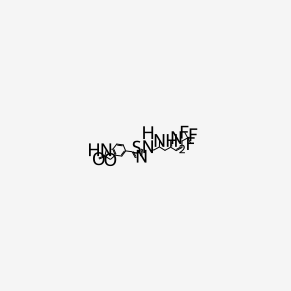 NC(CNc1ncc(-c2ccc3[nH]c(=O)oc3c2)s1)Cc1ccc(C(F)(F)F)nc1